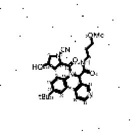 COCCCNC(=O)C(c1cccnc1)N(C(=O)C1CC(O)CN1C#N)c1ccc(C(C)(C)C)cc1